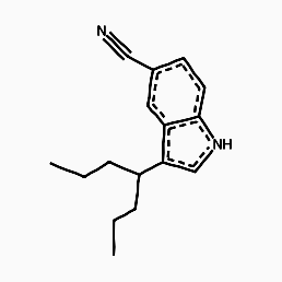 CCCC(CCC)c1c[nH]c2ccc(C#N)cc12